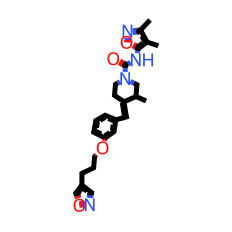 Cc1noc(NC(=O)N2CC/C(=C\c3cccc(OCCCc4cnoc4)c3)C(C)C2)c1C